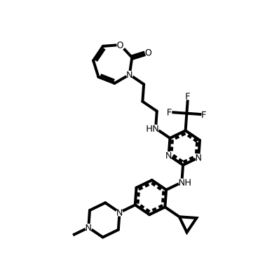 CN1CCN(c2ccc(Nc3ncc(C(F)(F)F)c(NCCCN4C=CC=COC4=O)n3)c(C3CC3)c2)CC1